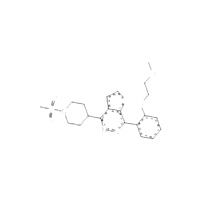 COCCOc1ccccc1-c1nnc(C2CCN(S(C)(=O)=O)CC2)c2ccsc12